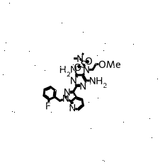 COCCN(c1c(N)nc(-c2nn(Cc3ccccc3F)c3ncccc23)nc1N)S(=O)(=O)N(C)C